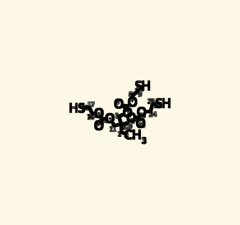 CCC(COC(=O)OCCS)(COC(=O)OCCS)COC(=O)OCCS